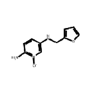 Nc1ccc(NCc2ccco2)c[n+]1[O-]